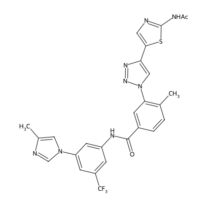 CC(=O)Nc1ncc(-c2cn(-c3cc(C(=O)Nc4cc(-n5cnc(C)c5)cc(C(F)(F)F)c4)ccc3C)nn2)s1